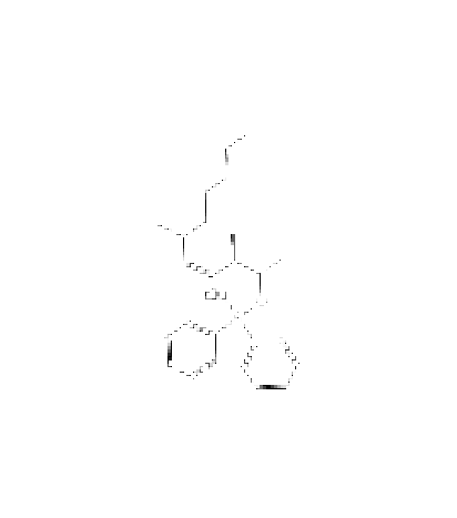 CC(/C=C\[C@@H](C)[C@H](C)O[Si](c1ccccc1)(c1ccccc1)C(C)(C)C)CCCCI